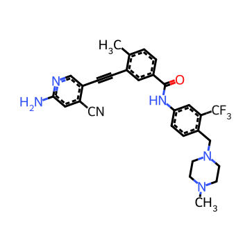 Cc1ccc(C(=O)Nc2ccc(CN3CCN(C)CC3)c(C(F)(F)F)c2)cc1C#Cc1cnc(N)cc1C#N